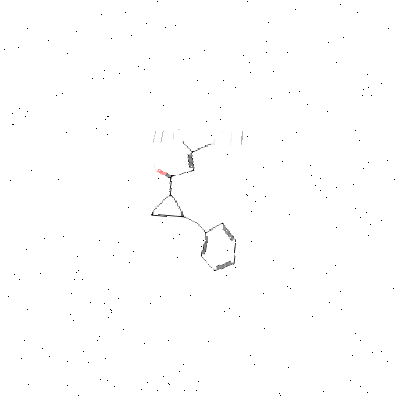 CC(C)=CC(=O)C1CC1c1ccccc1